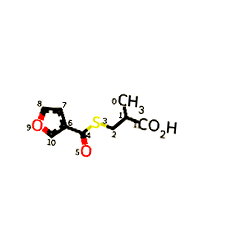 CC(CSC(=O)c1ccoc1)C(=O)O